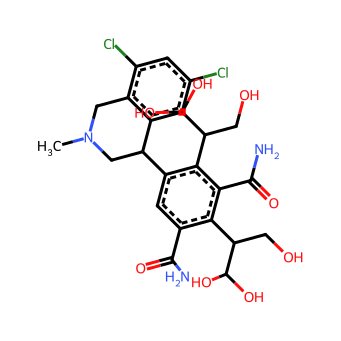 CN1Cc2c(Cl)cc(Cl)cc2C(c2cc(C(N)=O)c(C(CO)C(O)O)c(C(N)=O)c2C(CO)C(O)O)C1